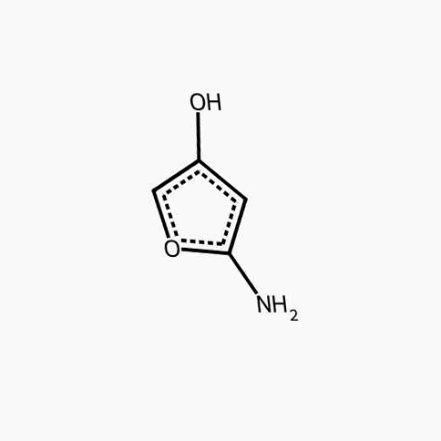 Nc1cc(O)co1